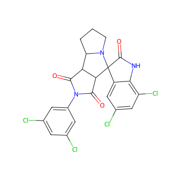 O=C1C2C3CCCN3C3(C(=O)Nc4c(Cl)cc(Cl)cc43)C2C(=O)N1c1cc(Cl)cc(Cl)c1